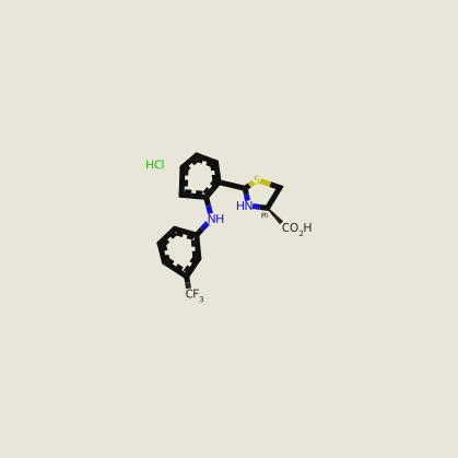 Cl.O=C(O)[C@@H]1CSC(c2ccccc2Nc2cccc(C(F)(F)F)c2)N1